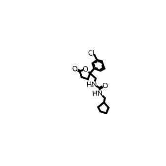 O=C(NCC1CCCC1)NCC1(c2cccc(Cl)c2)CCC(=O)O1